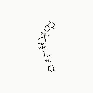 O=S(=O)(CCSC(=S)NCc1cccnc1)N1CCCN(S(=O)(=O)c2ccc3c(c2)OCCO3)CC1